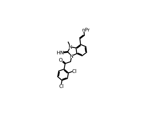 CCC/C=C/c1cccc2c1n(C)c(=N)n2CC(=O)c1ccc(Cl)cc1Cl